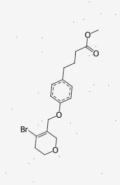 COC(=O)CCCc1ccc(OCC2=C(Br)CCOC2)cc1